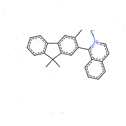 [CH2-][n+]1ccc2ccccc2c1-c1cc2c(cc1C)-c1ccccc1C2(C)C